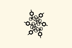 Cc1ccc(C(=O)OCC(OC(=O)c2ccc(C)cc2)C(OC(=O)c2ccc(C)cc2)C(OC(=O)c2ccc(C)cc2)C(COC(=O)c2ccc(C)cc2)OC(=O)c2ccc(C)cc2)cc1